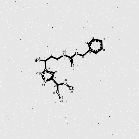 CCCC(CCNC(=O)OCc1ccccc1)n1cc(C(OCC)OCC)nn1